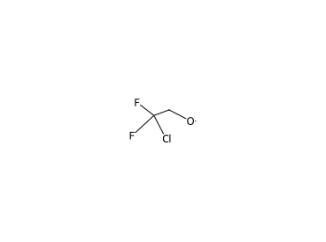 [O]CC(F)(F)Cl